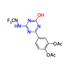 CC(=O)Oc1ccc(-c2nc(O)nc(NNC(F)(F)F)n2)cc1OC(C)=O